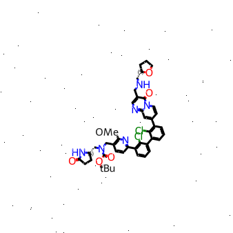 COc1nc(-c2cccc(-c3cccc(-c4ccn5c(=O)c(CNC[C@@H]6CCCO6)cnc5c4)c3Cl)c2Cl)ccc1CN(C[C@@H]1CCC(=O)N1)C(=O)OC(C)(C)C